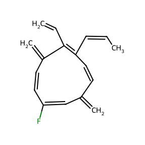 C=Cc1c(/C=C\C)ccc(=C)cc(F)ccc1=C